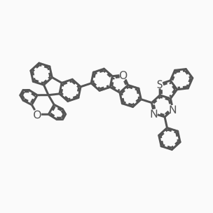 c1ccc(-c2nc(-c3ccc4c(c3)oc3ccc(-c5ccc6c(c5)-c5ccccc5C65c6ccccc6Oc6ccccc65)cc34)c3sc4ccccc4c3n2)cc1